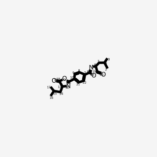 CC(C)CC1N=C(c2ccc(C3=NC(CC(C)C)C(=O)O3)cc2)OC1=O